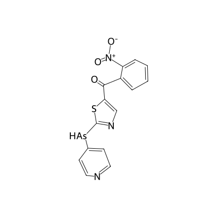 O=C(c1cnc([AsH]c2ccncc2)s1)c1ccccc1[N+](=O)[O-]